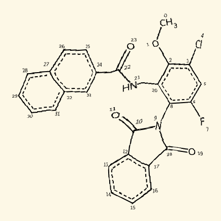 COc1c(Cl)cc(F)c(N2C(=O)c3ccccc3C2=O)c1NC(=O)c1ccc2ccccc2c1